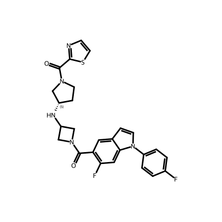 O=C(c1nccs1)N1CC[C@H](NC2CN(C(=O)c3cc4ccn(-c5ccc(F)cc5)c4cc3F)C2)C1